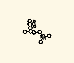 c1ccc(-c2cc(-c3cccc(-c4ccc5nc(-c6ccccc6)c6cc7c(cc6c5c4)C4(c5ccccc5S7)c5ccccc5-c5ccccc54)c3)nc(-c3ccccc3)n2)cc1